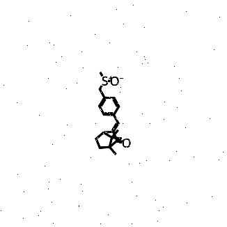 C[S+]([O-])Cc1ccc(C=C2C(=O)C3(C)CCC2C3(C)C)cc1